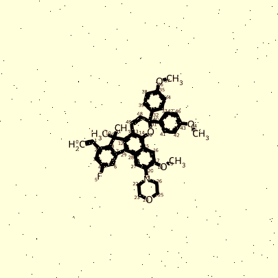 C=Cc1cc(F)cc2c1C(C)(C)c1c3c(c4cc(OC)c(N5CCOCC5)cc4c1-2)OC(c1ccc(OC)cc1)(c1ccc(OC)cc1)C=C3